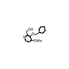 COc1ccnc(CO)c1OCc1ccccc1